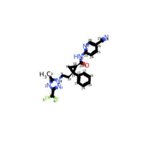 Cc1nc(C(F)F)nn1CC[C@@]1(c2ccccc2)C[C@H]1C(=O)Nc1ccc(C#N)cn1